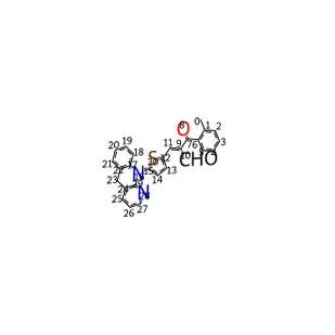 Cc1ccccc1C(=O)/C(C=O)=C/c1ccc(N2c3ccccc3Cc3cccnc32)s1